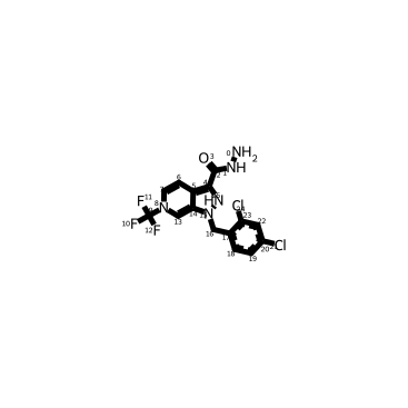 NNC(=O)C1=C2C=CN(C(F)(F)F)C=C2N(Cc2ccc(Cl)cc2Cl)N1